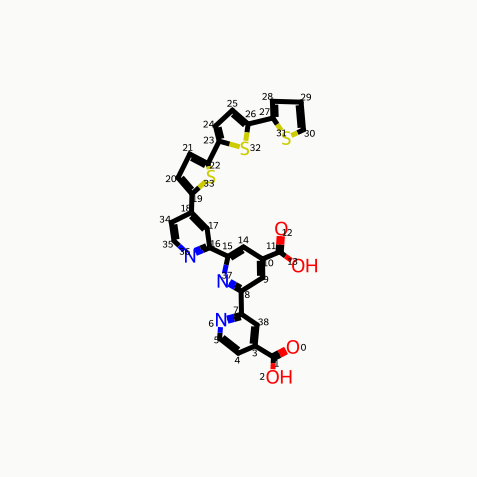 O=C(O)c1ccnc(-c2cc(C(=O)O)cc(-c3cc(-c4ccc(-c5ccc(-c6cccs6)s5)s4)ccn3)n2)c1